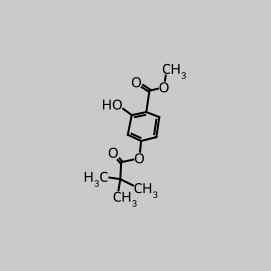 COC(=O)c1ccc(OC(=O)C(C)(C)C)cc1O